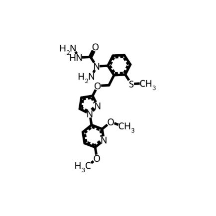 COc1ccc(-n2ccc(OCc3c(SC)cccc3N(N)C(=O)NN)n2)c(OC)n1